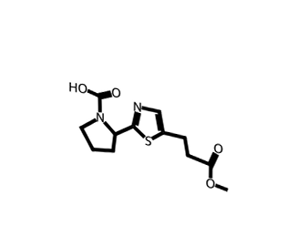 COC(=O)CCc1cnc(C2CCCN2C(=O)O)s1